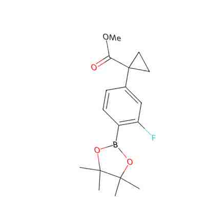 COC(=O)C1(c2ccc(B3OC(C)(C)C(C)(C)O3)c(F)c2)CC1